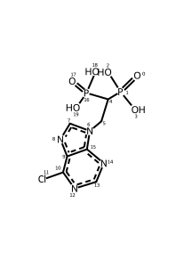 O=P(O)(O)C(Cn1cnc2c(Cl)ncnc21)P(=O)(O)O